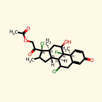 CC(=O)OCC(=O)[C@@]1(Cl)C(C)C[C@H]2[C@@H]3C(Cl)CC4=CC(=O)C=C[C@]4(C)[C@@]3(F)C(O)C[C@@]21C